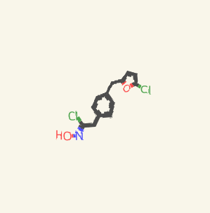 ON=C(Cl)Cc1ccc(Cc2ccc(Cl)o2)cc1